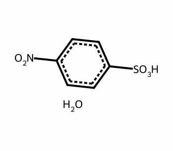 O.O=[N+]([O-])c1ccc(S(=O)(=O)O)cc1